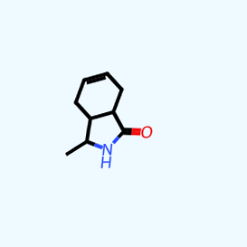 CC1NC(=O)C2CC=CCC12